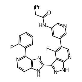 CC(C)CC(=O)Nc1cncc(-c2cnc3[nH]nc(-c4nc5c(-c6ccccc6F)nccc5[nH]4)c3c2F)c1